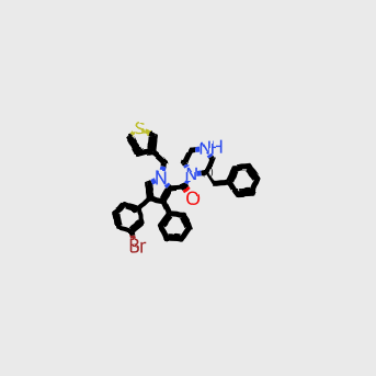 O=C(c1c(-c2ccccc2)c(-c2cccc(Br)c2)cn1Cc1ccsc1)N1CCNC[C@H]1Cc1ccccc1